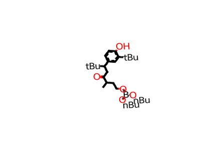 CCCCOB(OCCCC)OCCC(C)C(=O)CC(c1ccc(O)c(C(C)(C)C)c1)C(C)(C)C